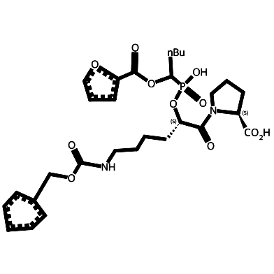 CCCCC(OC(=O)c1ccco1)P(=O)(O)O[C@@H](CCCCNC(=O)OCc1ccccc1)C(=O)N1CCC[C@H]1C(=O)O